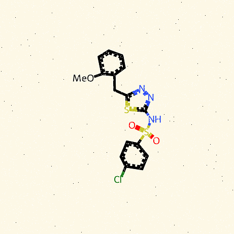 COc1ccccc1Cc1nnc(NS(=O)(=O)c2ccc(Cl)cc2)s1